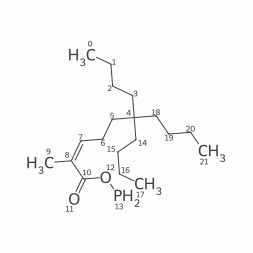 CCCCC(CCC=C(C)C(=O)OP)(CCCC)CCCC